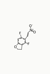 O=[N+]([O-])/C=C/c1c(F)cc2c(c1F)CCO2